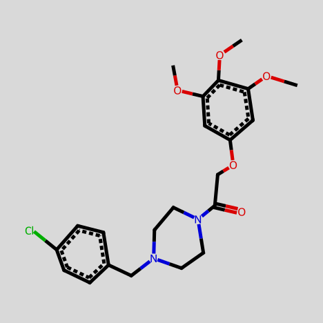 COc1cc(OCC(=O)N2CCN(Cc3ccc(Cl)cc3)CC2)cc(OC)c1OC